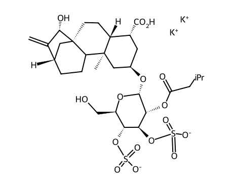 C=C1[C@H]2CCC3[C@@](CC[C@@H]4[C@H](C(=O)O)C[C@@H](O[C@H]5O[C@H](CO)[C@@H](OS(=O)(=O)[O-])[C@H](OS(=O)(=O)[O-])[C@H]5OC(=O)CC(C)C)C[C@@]34C)(C2)[C@H]1O.[K+].[K+]